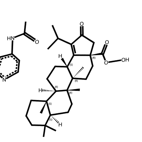 CC(=O)Nc1ccncc1.CC(C)C1=C2[C@H]3CC[C@@H]4[C@@]5(C)CCCC(C)(C)[C@@H]5CC[C@@]4(C)[C@]3(C)CC[C@@]2(C(=O)OO)CC1=O